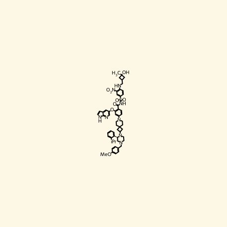 COc1ccc(CN2CCN(C3CC4(CCN(c5ccc(C(=O)NS(=O)(=O)c6ccc(NCC7CC(C)(O)C7)c([N+](=O)[O-])c6)c(Oc6cnc7[nH]ccc7c6)c5)CC4)C3)[C@H](c3ccccc3C(C)C)C2)cc1